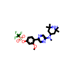 COc1cc(OS(=O)(=O)C(F)(F)F)ccc1-c1cnc(N(C)C2CC(C)(C)NC(C)(C)C2)cn1